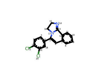 Clc1ccc(C2=Cc3ccccc3C3=NCCN23)cc1Cl